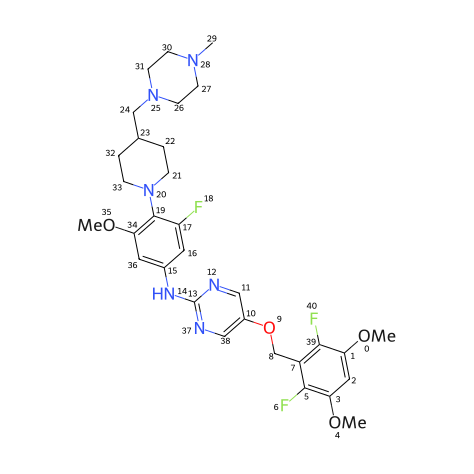 COc1cc(OC)c(F)c(COc2cnc(Nc3cc(F)c(N4CCC(CN5CCN(C)CC5)CC4)c(OC)c3)nc2)c1F